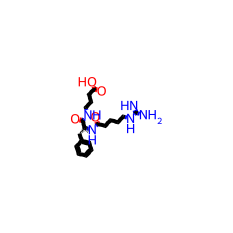 N=C(N)NCCCCC(=O)N[C@H](Cc1ccccc1)C(=O)NCCCC(=O)O